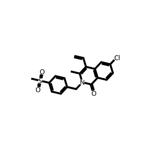 C=Cc1c(C)n(Cc2ccc(S(C)(=O)=O)cc2)c(=O)c2ccc(Cl)cc12